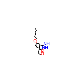 CCCCCCOc1ccc2c(c1)C(=N)NC21CCCOO1